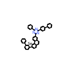 c1ccc(-c2ccc(-c3nc(-c4ccccc4)nc(-c4ccc5c(ccc6ccc7c8cccc(-c9ccccc9)c8[se]c7c65)c4)n3)cc2)cc1